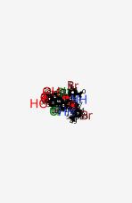 CC(C)c1cc(Br)cc(C(C)C)c1NC(=O)c1cc(Cl)c2c3c(Cl)cc(C(=O)O)c4c(C(=O)O)cc(Cl)c(c5c(Cl)cc(C(=O)Nc6c(C(C)C)cc(Br)cc6C(C)C)c1c25)c43